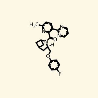 Cc1ccc(-c2ncccn2)c(C(=O)N2C3CC(C3)C[C@@H]2COc2ccc(F)cc2)n1